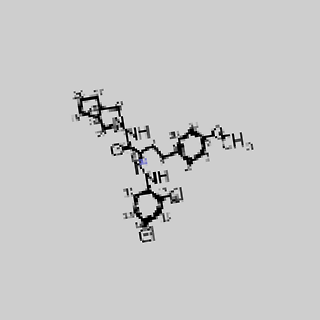 COc1ccc(CC/C(=N\Nc2ccc(Cl)cc2Cl)C(=O)NN2CC3CCCC3C2)cc1